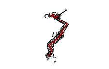 COCCOCCOCCOCCOCCOCCOCCOCCOCCOCCOCCOCCNC(=O)OCc1ccc(OCCOCCOCCOCCOCCOCCOc2cc(NC3CCN(S(=O)(=O)C(F)(F)F)CC3)c3cc(C(c4ccc(Cl)cc4)c4ccc(Cl)cc4)ccc3n2)cc1